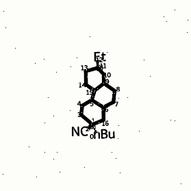 CCCC[C@]1(C#N)CCC2C(CCC3C[C@H](CC)CCC32)C1